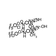 Cc1nc(N2CC3CC2CN3)nc2ccc(NC(=O)COc3ccc(C(F)(F)F)cc3Cl)cc12.Cc1nc(N2CCN(CCO)CC2)nc2ccc(NC(=O)COc3ccc(OC(F)(F)F)cc3)cc12